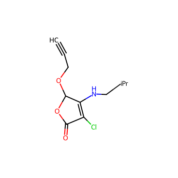 C#CCOC1OC(=O)C(Cl)=C1NCC(C)C